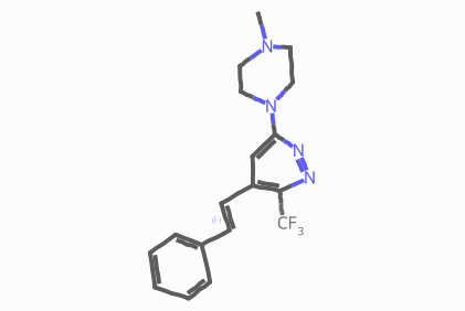 CN1CCN(c2cc(/C=C/c3ccccc3)c(C(F)(F)F)nn2)CC1